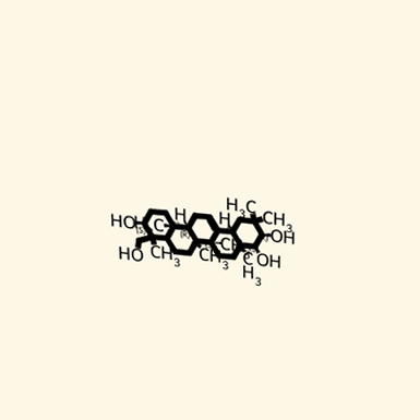 CC1(C)C[C@@H]2C3=CC[C@@H]4[C@@]5(C)CC[C@H](O)C(C)(CO)C5CC[C@@]4(C)[C@]3(C)CC[C@@]2(C)[C@H](O)[C@@H]1O